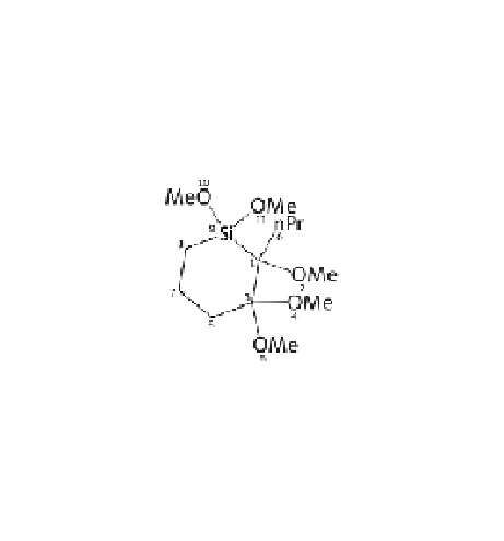 CCCC1(OC)C(OC)(OC)CCC[Si]1(OC)OC